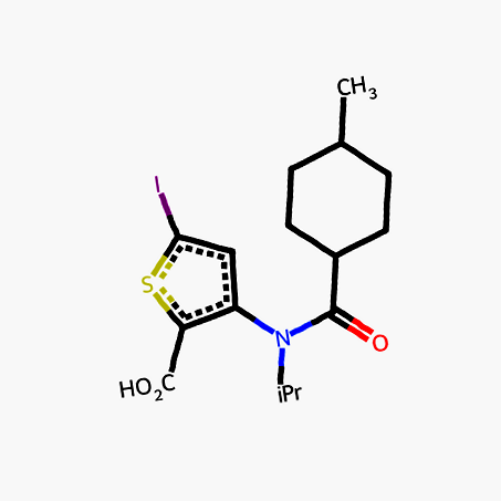 CC1CCC(C(=O)N(c2cc(I)sc2C(=O)O)C(C)C)CC1